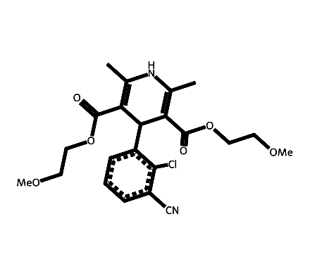 COCCOC(=O)C1=C(C)NC(C)=C(C(=O)OCCOC)C1c1cccc(C#N)c1Cl